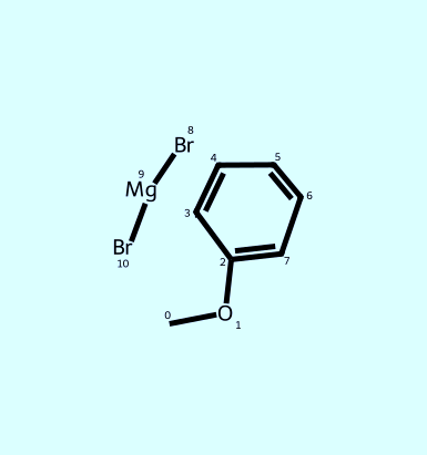 COc1[c]cccc1.[Br][Mg][Br]